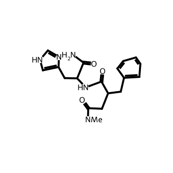 CNC(=O)CC(Cc1ccccc1)C(=O)NC(Cc1c[nH]cn1)C(N)=O